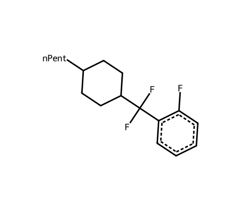 CCCCCC1CCC(C(F)(F)c2ccccc2F)CC1